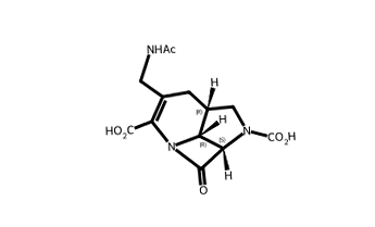 CC(=O)NCC1=C(C(=O)O)N2C(=O)[C@@H]3[C@H]2[C@H](C1)CN3C(=O)O